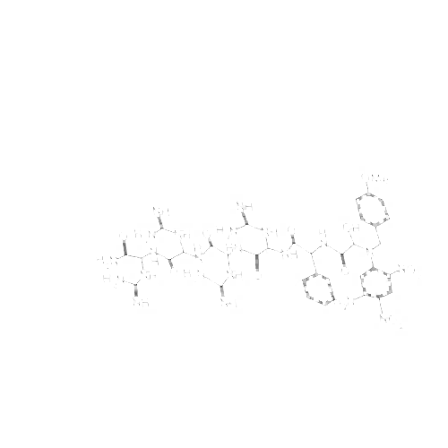 COc1ccc(CN(c2cc(N)c([N+](=O)[O-])cc2[N+](=O)[O-])C(O)C(=O)NC(C(=O)NC(NC(=N)N)C(=O)NC(NC(=N)N)C(=O)NC(NC(=N)N)C(=O)NC(NC(=N)N)C(N)=O)c2ccccc2)cc1